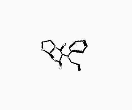 C=CCN(c1ccccc1)C1C(=O)N=C2SCCN2C1=O